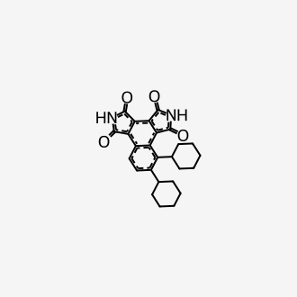 O=c1[nH]c(=O)c2c1c1ccc(C3CCCCC3)c(C3CCCCC3)c1c1c(=O)[nH]c(=O)c12